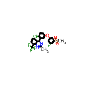 Cc1nc(-c2cc(Oc3cc(F)cc(S(C)(=O)=O)c3)ccc2Cl)c2cccc(C(F)(F)F)c2n1